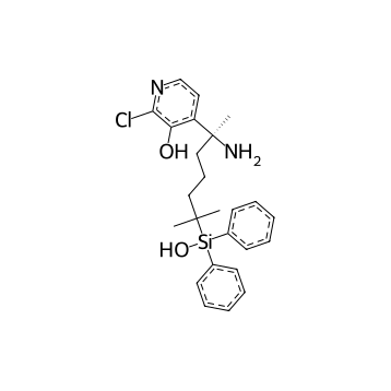 CC(C)(CCC[C@](C)(N)c1ccnc(Cl)c1O)[Si](O)(c1ccccc1)c1ccccc1